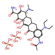 CCN(CC)c1cc(NC(C)=O)c(O)c2c1CC1CC3[C@H](N(C)C)C(O)=C(C(N)=O)C(=O)[C@@]3(O)C(O)=C1C2=O.O=S(=O)(O)O.O=S(=O)(O)O